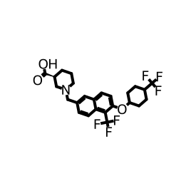 O=C(O)[C@H]1CCCN(Cc2ccc3c(C(F)(F)F)c(OC4CCC(C(F)(F)F)CC4)ccc3c2)C1